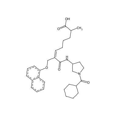 CC(CCCC=C(COc1cccc2ccccc12)C(=O)NC1CCN(C(=O)C2CCCCC2)C1)C(=O)O